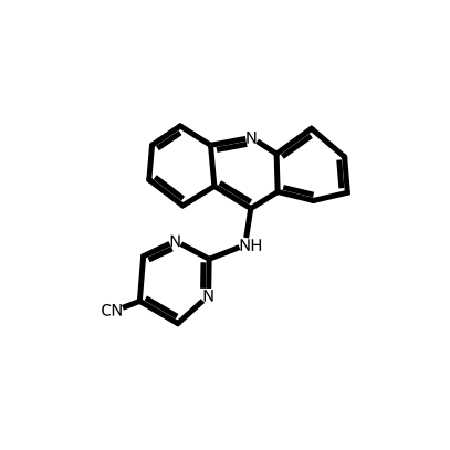 [C-]#[N+]c1cnc(Nc2c3ccccc3nc3ccccc23)nc1